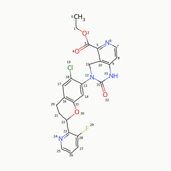 CCOC(=O)c1nccc2c1CN(c1cc3c(cc1Cl)CCC(c1ncccc1F)O3)C(=O)N2